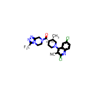 C[C@@H]1CN(c2c(C#N)c(Cl)nc3ccc(Cl)cc23)CC[C@@H]1C(=O)N1CCn2c(nnc2C(F)(F)F)C1